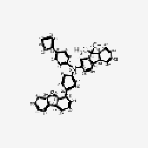 CC1(C)c2cc(N(c3ccc(-c4ccccc4)cc3)c3ccc(-c4cccc5c4sc4ccccc45)cc3)ccc2C2C=CC=CC21